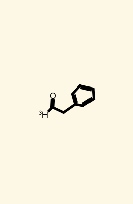 [3H]C(=O)Cc1ccccc1